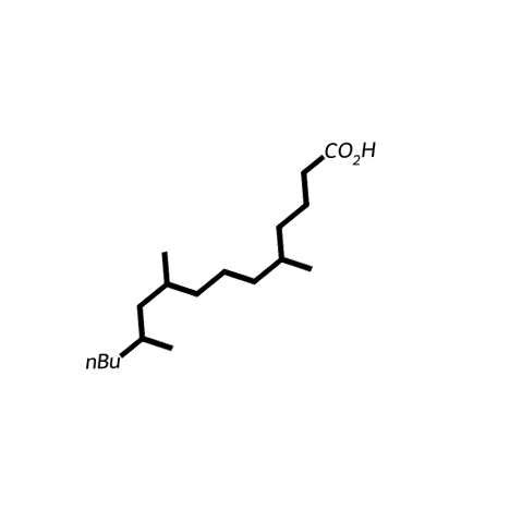 CCCCC(C)CC(C)CCCC(C)CCCC(=O)O